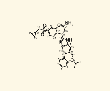 CC(C)Oc1ccccc1-c1cc2nc([C@H](CC(N)=O)c3ccc(S(=O)(=O)CC4CC4)cc3)[nH]c2cc1Cl